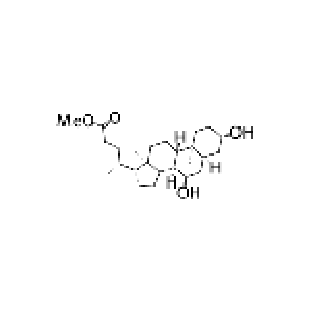 COC(=O)CC[C@@H](C)[C@H]1CCC2[C@@H]3[C@H](O)C[C@@H]4C[C@H](O)CC[C@]4(C)[C@H]3CC[C@@]21C